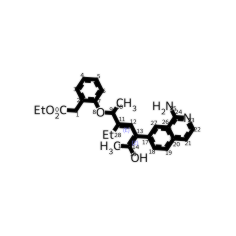 CCOC(=O)Cc1ccccc1OC(C)/C(=C/C(=C(\C)O)c1ccc2ccnc(N)c2c1)CC